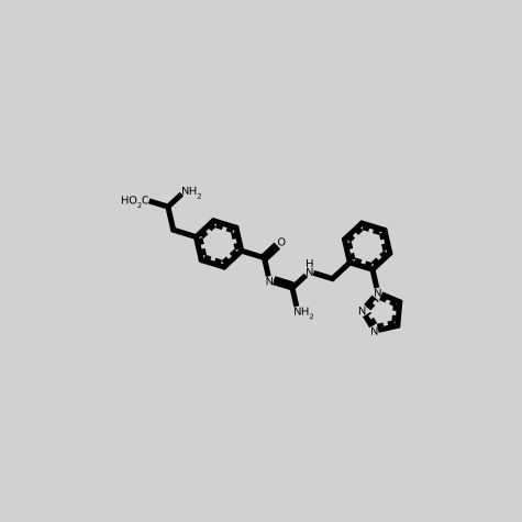 NC(=NC(=O)c1ccc(CC(N)C(=O)O)cc1)NCc1ccccc1-n1ccnn1